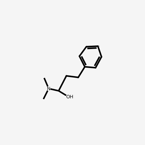 CN(C)C(O)CCc1cc[c]cc1